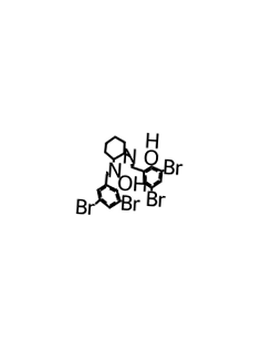 Oc1c(Br)cc(Br)cc1/C=N/C1CCCCC1/N=C/c1cc(Br)cc(Br)c1O